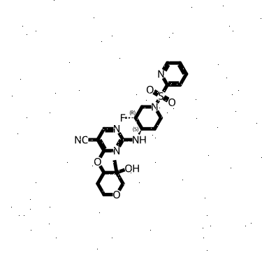 CC1(O)COCCC1Oc1nc(N[C@H]2CCN(S(=O)(=O)c3ccccn3)C[C@H]2F)ncc1C#N